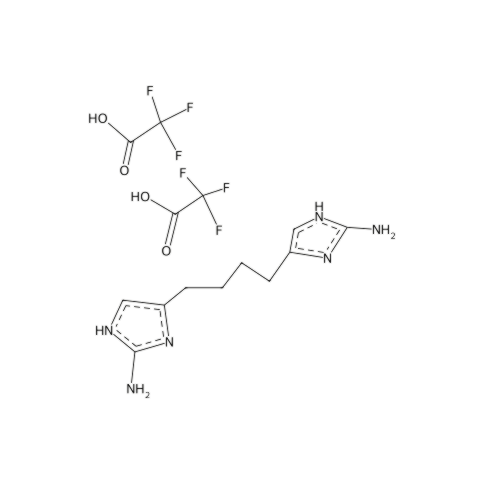 Nc1nc(CCCCc2c[nH]c(N)n2)c[nH]1.O=C(O)C(F)(F)F.O=C(O)C(F)(F)F